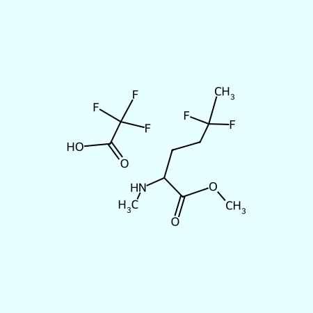 CNC(CCC(C)(F)F)C(=O)OC.O=C(O)C(F)(F)F